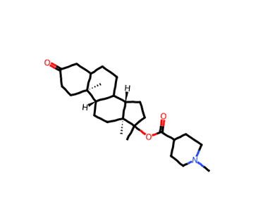 CN1CCC(C(=O)OC2(C)CC[C@H]3C4CCC5CC(=O)CC[C@]5(C)[C@H]4CC[C@@]32C)CC1